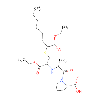 CCCCCCC(SC[C@H](NC(C)C(=O)N1CCC[C@H]1C(=O)O)C(=O)OCC)C(=O)OCC